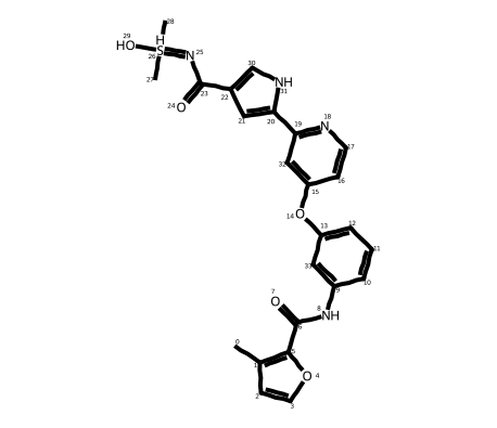 Cc1ccoc1C(=O)Nc1cccc(Oc2ccnc(-c3cc(C(=O)N=[SH](C)(C)O)c[nH]3)c2)c1